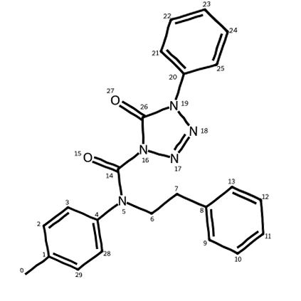 Cc1ccc(N(CCc2ccccc2)C(=O)n2nnn(-c3ccccc3)c2=O)cc1